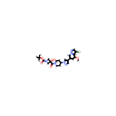 COc1cc(-c2cnn(C3CCN(C(=O)C4(O)CN(C(=O)OC(C)(C)C)C4)CC3)c2)cn2ncc(Cl)c12